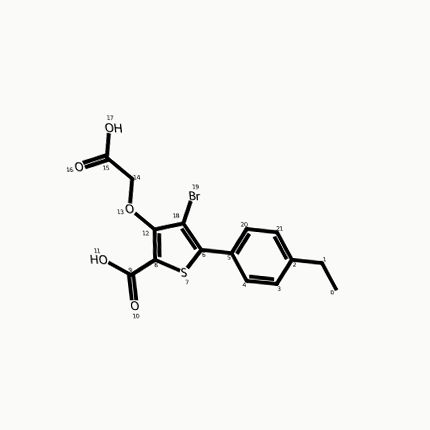 CCc1ccc(-c2sc(C(=O)O)c(OCC(=O)O)c2Br)cc1